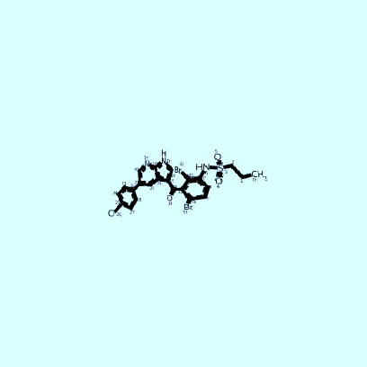 CCCS(=O)(=O)Nc1ccc(Br)c(C(=O)c2c[nH]c3ncc(-c4ccc(Cl)cc4)cc23)c1Br